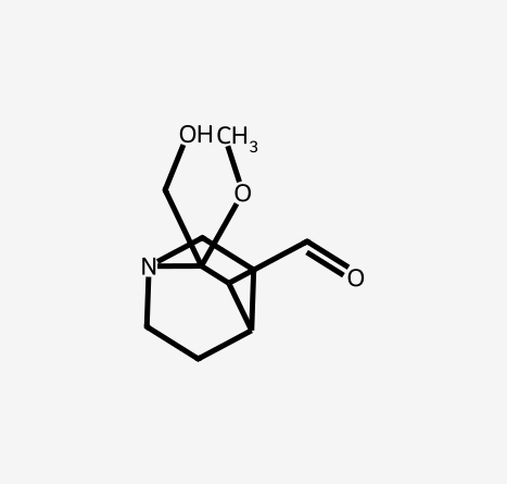 COC1(CO)C(C=O)C2CCN1CC2